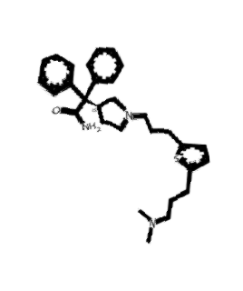 CN(C)CCCc1ccc(CCCN2CC[C@@H](C(C(N)=O)(c3ccccc3)c3ccccc3)C2)s1